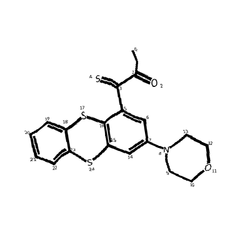 CC(=O)C(=S)c1cc(N2CCOCC2)cc2c1Sc1ccccc1S2